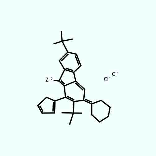 CC(C)(C)c1ccc2c(c1)[C]([Zr+2])=c1c-2cc(=C2CCCCC2)c(C(C)(C)C)c1C1=CC=CC1.[Cl-].[Cl-]